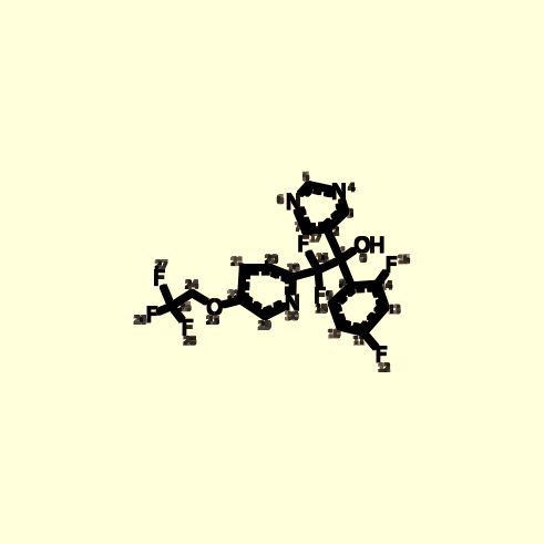 OC(c1cncnc1)(c1ccc(F)cc1F)C(F)(F)c1ccc(OCC(F)(F)F)cn1